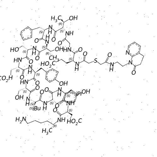 CC[C@H](C)[C@H](NC(=O)[C@H](CO)NC(=O)[C@H](Cc1ccc(O)cc1)NC(=O)[C@H](CC(=O)O)NC(=O)[C@H](CO)NC(=O)[C@@H](NC(=O)[C@H](Cc1ccccc1)NC(=O)[C@@H](NC(=O)CNC(=O)[C@H](CCC(=O)O)NC(=O)CSCC(=O)NCCN1C(=O)CCc2cccnc21)[C@@H](C)O)[C@@H](C)O)C(=O)N[C@@H](Cc1ccc(O)cc1)C(=O)N[C@@H](CC(C)C)C(=O)N[C@@H](CC(=O)O)C(=O)N[C@H](C)CCCCN